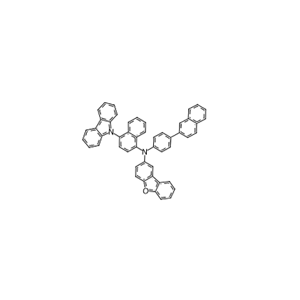 c1ccc2cc(-c3ccc(N(c4ccc5oc6ccccc6c5c4)c4ccc(-n5c6ccccc6c6ccccc65)c5ccccc45)cc3)ccc2c1